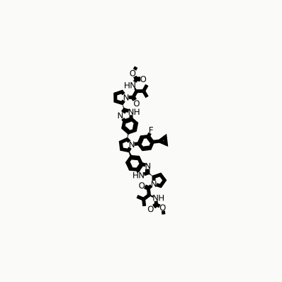 COC(=O)N[C@H](C(=O)N1CCC[C@H]1c1nc2cc([C@H]3CC[C@H](c4ccc5[nH]c([C@@H]6CCCN6C(=O)[C@@H](NC(=O)OC)C(C)C)nc5c4)N3c3ccc(C4CC4)c(F)c3)ccc2[nH]1)C(C)C